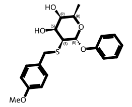 COc1ccc(CS[C@@H]2[C@@H](Oc3ccccc3)O[C@H](C)[C@H](O)[C@@H]2O)cc1